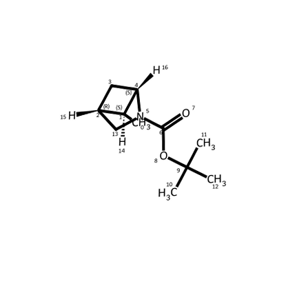 C[C@H]1[C@H]2C[C@@H]1N(C(=O)OC(C)(C)C)C2